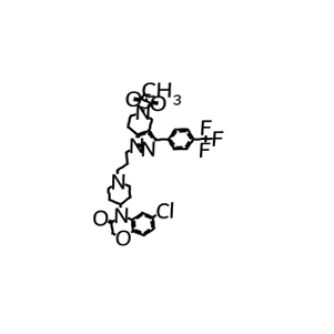 CS(=O)(=O)N1CCc2c(c(-c3ccc(C(F)(F)F)cc3)nn2CCCN2CCC(N3C(=O)COc4ccc(Cl)cc43)CC2)C1